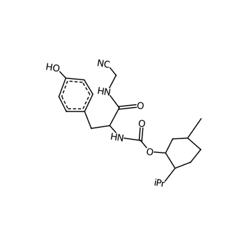 CC1CCC(C(C)C)C(OC(=O)NC(Cc2ccc(O)cc2)C(=O)NCC#N)C1